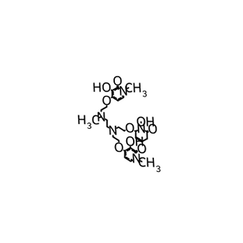 CN(CCOc1ccn(C)c(=O)c1O)CCN(CCOc1ccn(C)c(=O)c1O)CCOC1C=CCC(=O)N1O